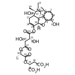 Cc1ccc(O)c2c1[C@]13CCN(C)[C@H](C)[C@]1(O)CC=C(OC(=O)[C@H](O)[C@@H](O)C(=O)O[C@@H](C)C(=O)O[C@H](CC(=O)O)C(=O)O)[C@@H]3O2